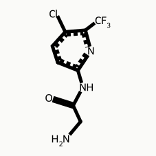 NCC(=O)Nc1ccc(Cl)c(C(F)(F)F)n1